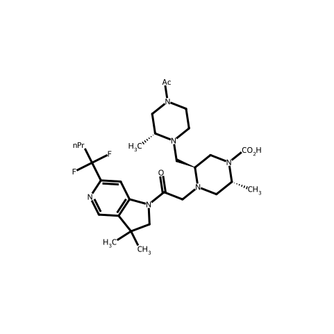 CCCC(F)(F)c1cc2c(cn1)C(C)(C)CN2C(=O)CN1C[C@@H](C)N(C(=O)O)C[C@@H]1CN1CCN(C(C)=O)C[C@H]1C